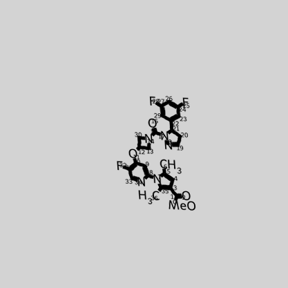 COC(=O)c1cc(C)n(-c2cc(OC3CN(C(=O)N4N=CCC4c4cc(F)cc(F)c4)C3)c(F)cn2)c1C